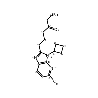 CC(C)(C)CC(=O)CCCc1nc2ccc(Cl)nc2n1C1CCC1